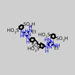 CCNc1nc(Nc2ccc(C=Cc3ccc(Nc4nc(NCC)nc(Nc5cc(S(=O)(=O)O)ccc5S(=O)(=O)O)n4)cc3S(=O)(=O)O)c(S(=O)(=O)O)c2)nc(Nc2cc(S(=O)(=O)O)ccc2S(=O)(=O)O)n1